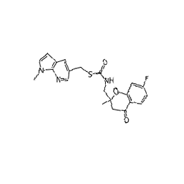 Cn1ccc2cc(CSC(=O)NCC3(C)CC(=O)c4ccc(F)cc4O3)cnc21